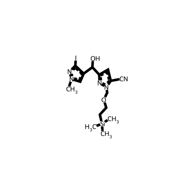 Cn1cc(C(O)c2cc(C#N)n(COCC[Si](C)(C)C)n2)c(I)n1